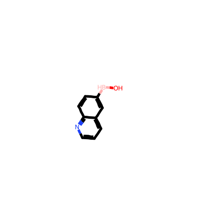 OBc1ccc2ncccc2c1